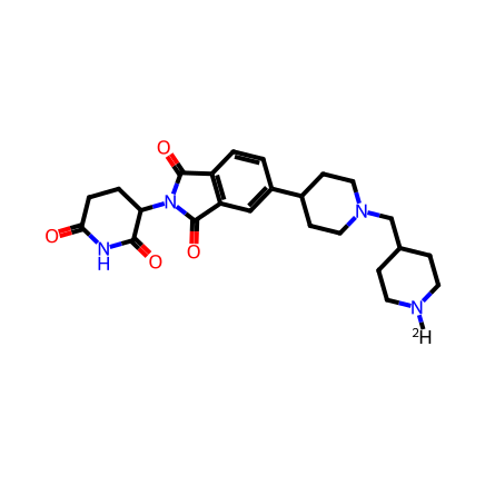 [2H]N1CCC(CN2CCC(c3ccc4c(c3)C(=O)N(C3CCC(=O)NC3=O)C4=O)CC2)CC1